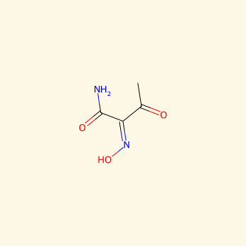 CC(=O)/C(=N/O)C(N)=O